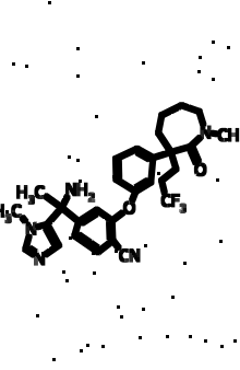 CN1CCCCC(CCC(F)(F)F)(c2cccc(Oc3cc(C(C)(N)c4cncn4C)ccc3C#N)c2)C1=O